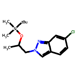 CC(Cn1cc2ccc(Cl)cc2n1)O[Si](C)(C)C(C)(C)C